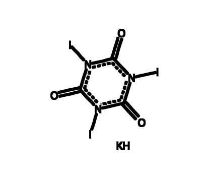 O=c1n(I)c(=O)n(I)c(=O)n1I.[KH]